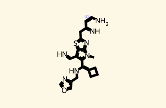 Cn1c(C(NCc2cocn2)=C2CCC2)c(C=N)c2sc(CC(=N)/C=C\N)nc21